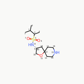 CC(C)C(C)S(=O)(=O)N[C@H]1COC2(CCNCC2)C1